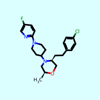 C[C@H]1CN(C2CCN(c3ccc(F)cn3)CC2)[C@@H](CCc2ccc(Cl)cc2)CO1